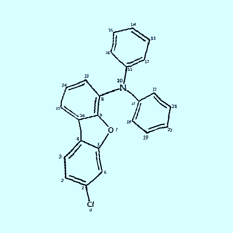 Clc1ccc2c(c1)oc1c(N(c3ccccc3)c3ccccc3)cccc12